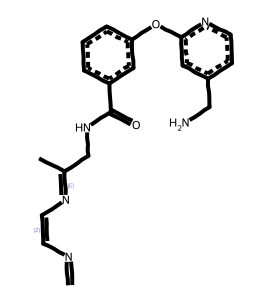 C=N/C=C\N=C(/C)CNC(=O)c1cccc(Oc2cc(CN)ccn2)c1